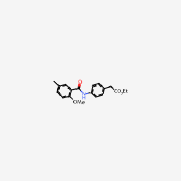 CCOC(=O)Cc1ccc(NC(=O)c2cc(C)ccc2OC)cc1